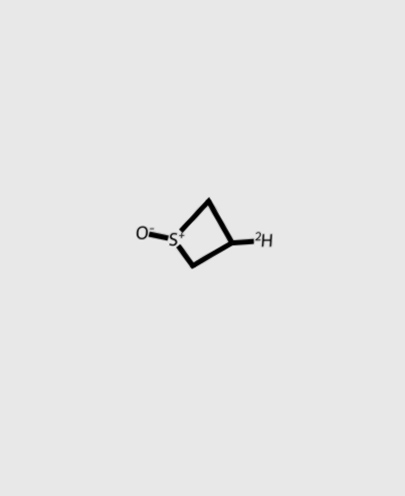 [2H]C1C[S+]([O-])C1